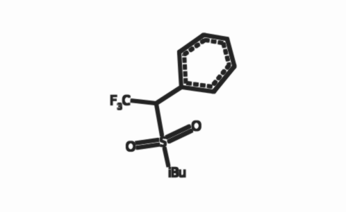 CCC(C)S(=O)(=O)C(c1ccccc1)C(F)(F)F